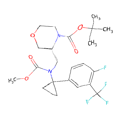 COC(=O)N(C[C@@H]1COCCN1C(=O)OC(C)(C)C)C1(c2ccc(F)c(C(F)(F)F)c2)CC1